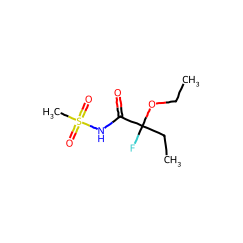 CCOC(F)(CC)C(=O)NS(C)(=O)=O